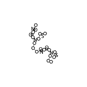 c1ccc(-c2nc3cc4oc5ccc(N(c6ccc(-c7cccc(-c8cccc(-c9nc%10cc%11c(cc%10o9)oc9ccc(N(c%10ccc(-c%12cccc%13ccccc%12%13)cc%10)c%10cccc%12sc%13ccccc%13c%10%12)cc9%11)c8)c7)cc6)c6cccc(-c7cccc8c7sc7ccccc78)c6)cc5c4cc3o2)cc1